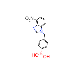 O=[N+]([O-])c1cccc2c1ncn2Cc1ccc(B(O)O)cc1